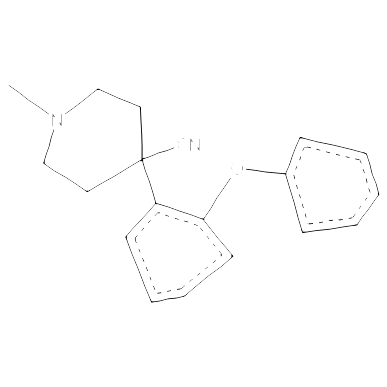 CN1CCC(C#N)(c2ccccc2Oc2ccccc2)CC1